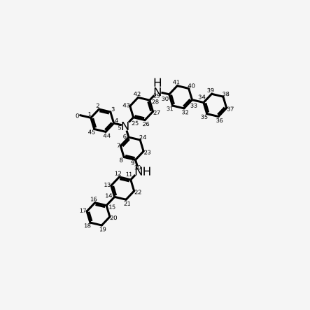 Cc1ccc(N(C2=CC=C(NC3=CC=C(C4=CC=CCC4)CC3)CC2)C2=CC=C(NC3=CC=C(C4=CC=CCC4)CC3)CC2)cc1